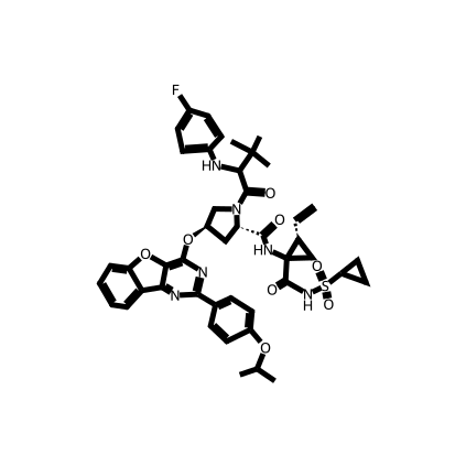 C=C[C@@H]1CC1(NC(=O)[C@@H]1C[C@@H](Oc2nc(-c3ccc(OC(C)C)cc3)nc3c2oc2ccccc23)CN1C(=O)C(Nc1ccc(F)cc1)C(C)(C)C)C(=O)NS(=O)(=O)C1CC1